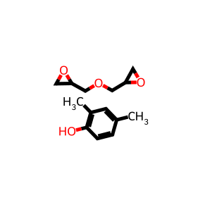 C(OCC1CO1)C1CO1.Cc1ccc(O)c(C)c1